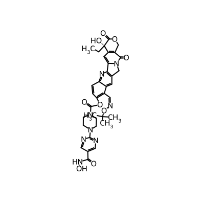 CC[C@@]1(O)C(=O)OCc2c1cc1n(c2=O)Cc2cc3c(/C=N\OC(C)(C)C)c(OC(=O)N4CCN(c5ncc(C(=O)NO)cn5)CC4)ccc3nc2-1